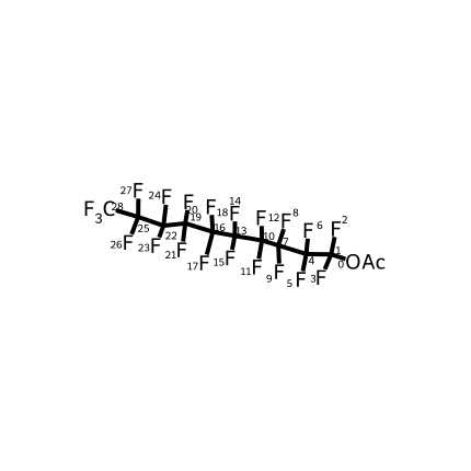 CC(=O)OC(F)(F)C(F)(F)C(F)(F)C(F)(F)C(F)(F)C(F)(F)C(F)(F)C(F)(F)C(F)(F)C(F)(F)F